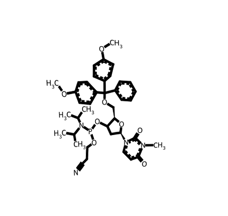 COc1ccc(C(OC[C@H]2O[C@@H](n3ccc(=O)n(C)c3=O)CC2OP(OCCC#N)N(C(C)C)C(C)C)(c2ccccc2)c2ccc(OC)cc2)cc1